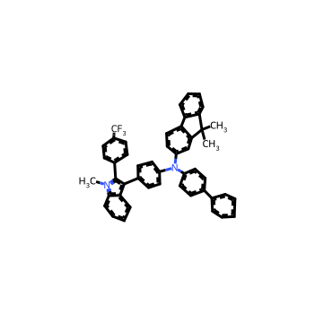 Cn1c(-c2ccc(C(F)(F)F)cc2)c(-c2ccc(N(c3ccc(-c4ccccc4)cc3)c3ccc4c(c3)C(C)(C)c3ccccc3-4)cc2)c2ccccc21